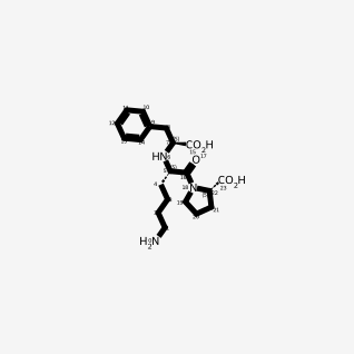 NCCCC[C@H](N[C@@H](Cc1ccccc1)C(=O)O)C(=O)N1CCC[C@H]1C(=O)O